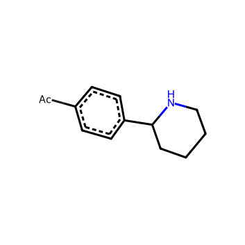 CC(=O)c1ccc(C2CCCCN2)cc1